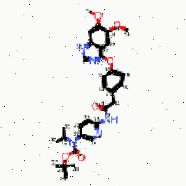 COc1cc2ncnc(Oc3ccc(CC(=O)Nc4ccc(N(C(=O)OC(C)(C)C)C(C)C)cn4)cc3)c2cc1OC